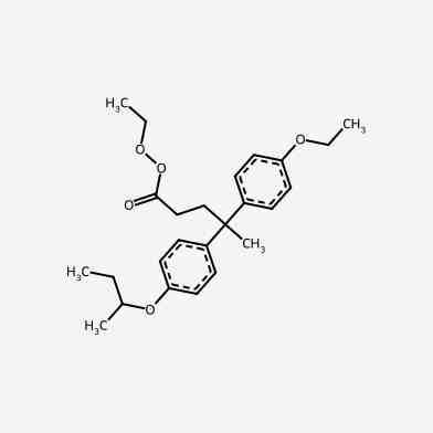 CCOOC(=O)CCC(C)(c1ccc(OCC)cc1)c1ccc(OC(C)CC)cc1